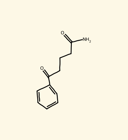 NC(=O)CCCC(=O)c1ccccc1